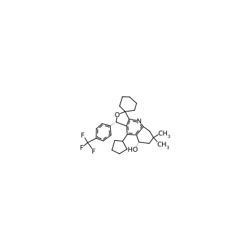 CC1(C)Cc2nc3c(c(C4CCCC4)c2[C@@H](O)C1)[C@H](c1ccc(C(F)(F)F)cc1)OC31CCCCC1